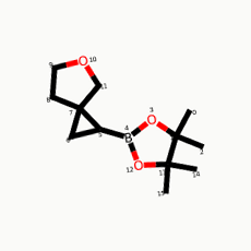 CC1(C)OB(C2CC23CCOC3)OC1(C)C